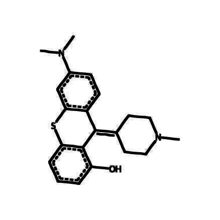 CN1CCC(=C2c3ccc(N(C)C)cc3Sc3cccc(O)c32)CC1